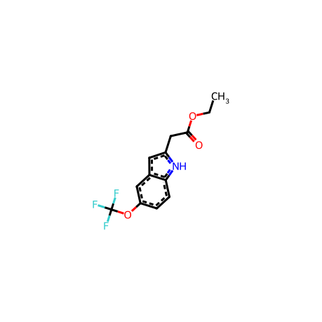 CCOC(=O)Cc1cc2cc(OC(F)(F)F)ccc2[nH]1